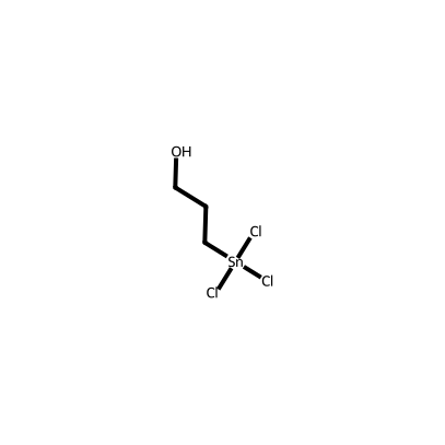 OCC[CH2][Sn]([Cl])([Cl])[Cl]